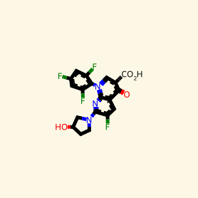 O=C(O)c1cn(-c2c(F)cc(F)cc2F)c2nc(N3CCC(O)C3)c(F)cc2c1=O